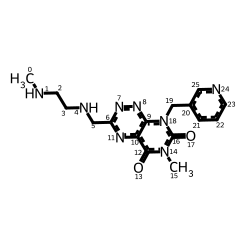 CNCCNCc1nnc2c(n1)c(=O)n(C)c(=O)n2Cc1cccnc1